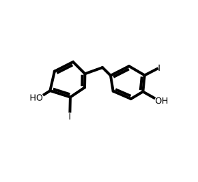 Oc1ccc(Cc2ccc(O)c(I)c2)cc1I